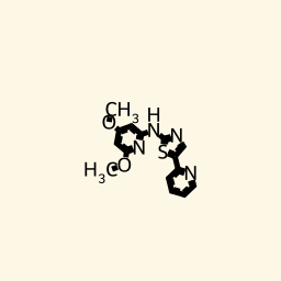 COc1cc(Nc2ncc(-c3ccccn3)s2)nc(OC)c1